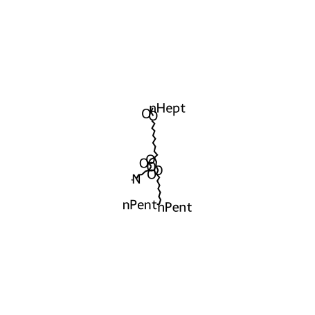 CCCCCCCC(=O)OCCCCCCCCCCC(CCOC(=O)CCCCCCCC(CCCCC)CCCCC)OC(=O)OCCCCN(C)C